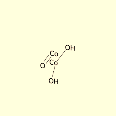 [OH][Co][OH].[O]=[Co]